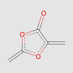 C=c1oc(=C)c(=O)o1